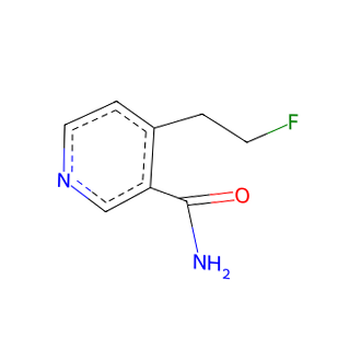 NC(=O)c1cnccc1CCF